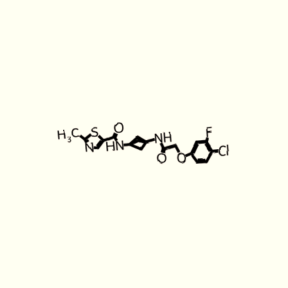 Cc1ncc(C(=O)NC23CC(NC(=O)COc4ccc(Cl)c(F)c4)(C2)C3)s1